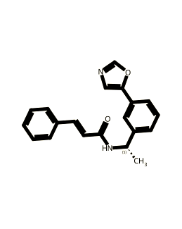 C[C@H](NC(=O)C=Cc1ccccc1)c1cccc(-c2cnco2)c1